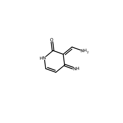 N=C1C=CNC(=O)/C1=C/N